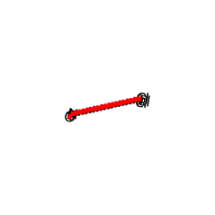 O=C=NCCCCCCCCCCCCCCCCCCCCCCCCCCCCCCCCCCCC[Si](Cl)(Cl)Cl